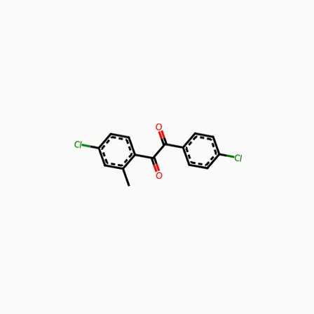 Cc1cc(Cl)ccc1C(=O)C(=O)c1ccc(Cl)cc1